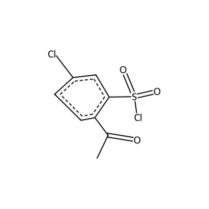 CC(=O)c1ccc(Cl)cc1S(=O)(=O)Cl